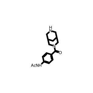 CC(=O)Nc1ccc(C(=O)N2CC3CNCC(C3)C2)cc1